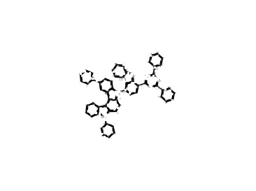 c1ccc(-c2ccc3c(c2)c2c4c5ccccc5n(-c5ccccc5)c4ccc2n3-c2ccc(-c3nc(-c4ccccc4)nc(-c4ccccc4)n3)c3sc4ccccc4c23)cc1